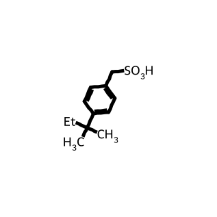 CCC(C)(C)c1ccc(CS(=O)(=O)O)cc1